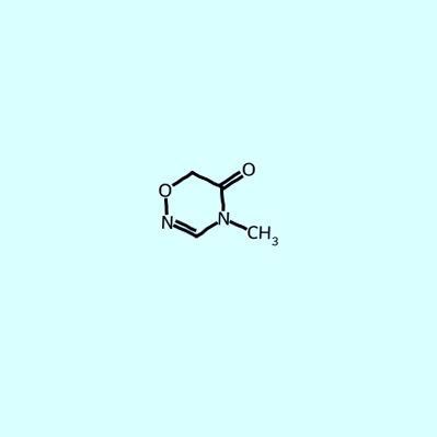 CN1C=NOCC1=O